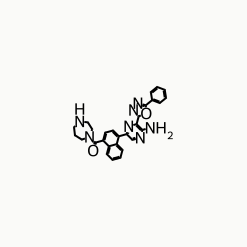 Nc1ncc(-c2ccc(C(=O)N3CCCNCC3)c3ccccc23)nc1-c1nnc(-c2ccccc2)o1